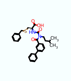 CC(C)CCN(C(=O)N[C@@H](CSCc1ccccc1)C(=O)O)C(=O)c1cccc(-c2ccccc2)c1